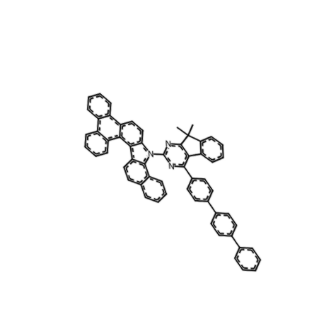 CC1(C)c2ccccc2-c2c(-c3ccc(-c4ccc(-c5ccccc5)cc4)cc3)nc(-n3c4ccc5c6ccccc6c6ccccc6c5c4c4ccc5ccccc5c43)nc21